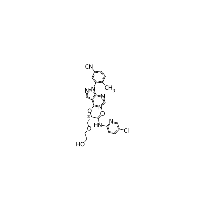 [C-]#[N+]c1ccc(C)c(-n2ncc3c(O[C@@H](COCCO)C(=O)Nc4ccc(Cl)cn4)ncnc32)c1